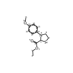 CCOC(=O)C1SCCN1c1ccc(OC)cc1